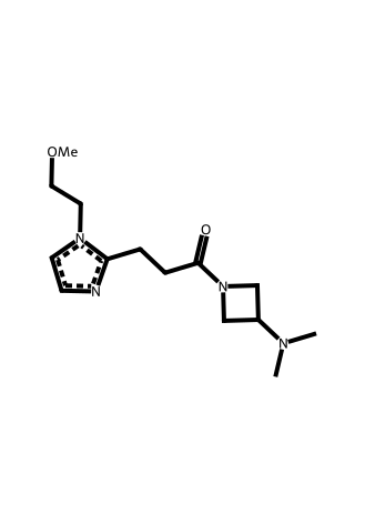 COCCn1ccnc1CCC(=O)N1CC(N(C)C)C1